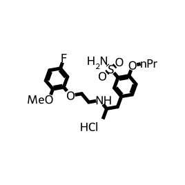 CCCOc1ccc(CC(C)NCCOc2cc(F)ccc2OC)cc1S(N)(=O)=O.Cl